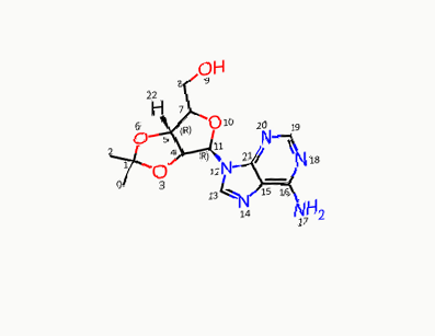 CC1(C)OC2[C@H](O1)C(CO)O[C@H]2n1cnc2c(N)ncnc21